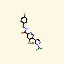 COc1cc(C(=O)NCc2ccc(Cl)cc2)ncc1-c1cnn(C(F)F)c1